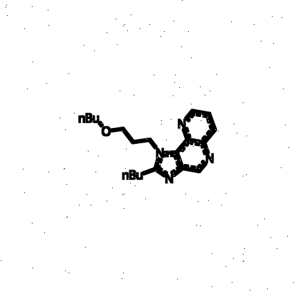 CCCCOCCCn1c(CCCC)nc2cnc3cccnc3c21